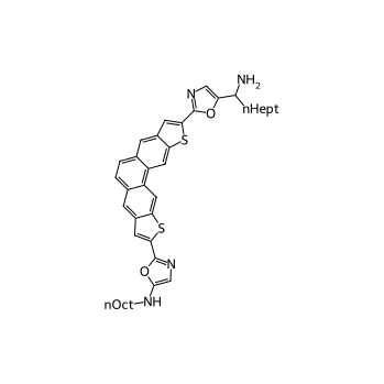 CCCCCCCCNc1cnc(-c2cc3cc4ccc5cc6cc(-c7ncc(C(N)CCCCCCC)o7)sc6cc5c4cc3s2)o1